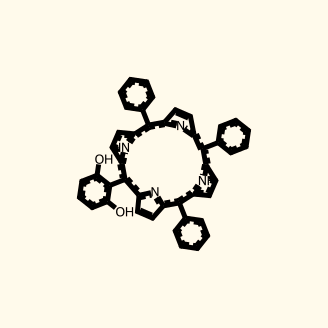 Oc1cccc(O)c1-c1c2nc(c(-c3ccccc3)c3ccc([nH]3)c(-c3ccccc3)c3nc(c(-c4ccccc4)c4ccc1[nH]4)C=C3)C=C2